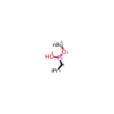 CCCCOP(O)CC(C)C